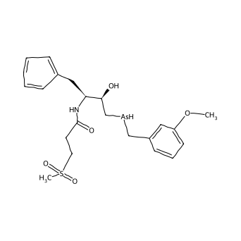 COc1cccc(C[AsH]C[C@H](O)[C@H](Cc2ccccc2)NC(=O)CCS(C)(=O)=O)c1